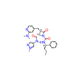 CCC[C@@H](NC(=O)N1C(=O)[C@H](Cc2ccnc(N(C)C)c2)[C@H]1C(=O)N(C)c1cnn(C)c1)c1ccccc1